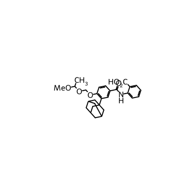 COC(C)OCOc1ccc(C(=O)Nc2ccccc2C(=O)O)cc1C12CC3CC(CC(C3)C1)C2